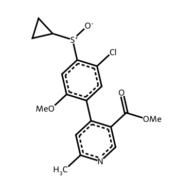 COC(=O)c1cnc(C)cc1-c1cc(Cl)c([S+]([O-])C2CC2)cc1OC